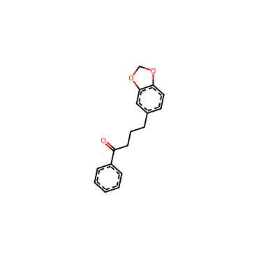 O=C(CCCc1ccc2c(c1)OCO2)c1ccccc1